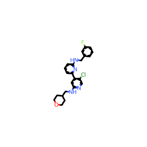 Fc1cccc(CNc2cccc(-c3cc(NCC4CCOCC4)ncc3Cl)n2)c1